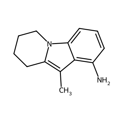 Cc1c2n(c3cccc(N)c13)CCCC2